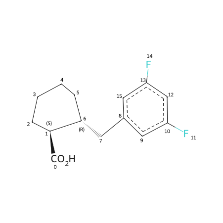 O=C(O)[C@H]1CCCC[C@@H]1Cc1cc(F)cc(F)c1